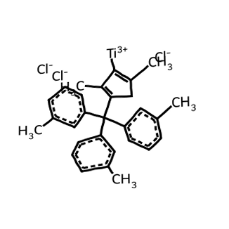 CC1=[C]([Ti+3])C(C)=C(C(c2cccc(C)c2)(c2cccc(C)c2)c2cccc(C)c2)C1.[Cl-].[Cl-].[Cl-]